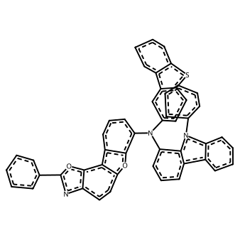 c1ccc(-c2nc3ccc4oc5c(N(c6ccc7sc8ccccc8c7c6)c6cccc7c8ccccc8n(-c8ccccc8)c67)cccc5c4c3o2)cc1